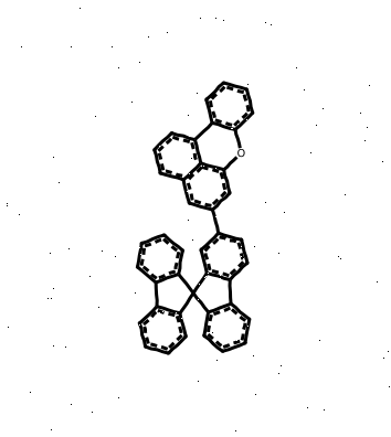 c1ccc2c(c1)Oc1cc(-c3ccc4c(c3)C3(c5ccccc5-c5ccccc53)c3ccccc3-4)cc3cccc-2c13